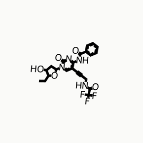 CCC1OC(n2cc(C#CCNC(=O)C(F)(F)F)c(NC(=O)c3ccccc3)nc2=O)CC1O